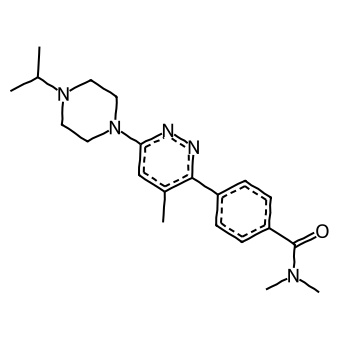 Cc1cc(N2CCN(C(C)C)CC2)nnc1-c1ccc(C(=O)N(C)C)cc1